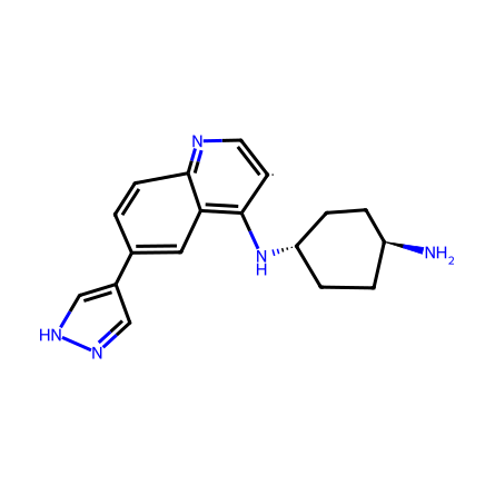 N[C@H]1CC[C@H](Nc2[c]cnc3ccc(-c4cn[nH]c4)cc23)CC1